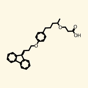 CC(CCCc1ccc(OCCC=C2c3ccccc3-c3ccccc32)cc1)OCCC(=O)O